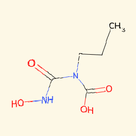 CCCN(C(=O)O)C(=O)NO